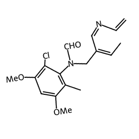 C=C/N=C\C(=C/C)CN(C=O)c1c(C)c(OC)cc(OC)c1Cl